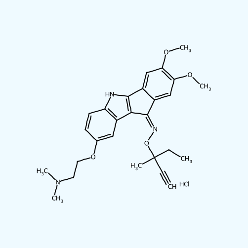 C#CC(C)(CC)O/N=C1/c2cc(OC)c(OC)cc2-c2[nH]c3ccc(OCCN(C)C)cc3c21.Cl